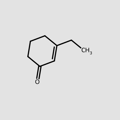 CCC1=CC(=O)CCC1